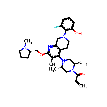 C=CC(=O)N1C[C@H](C)N(c2c(C#N)c(OC[C@@H]3CCCN3C)nc3c2CCN(c2c(O)cccc2F)C3)C[C@H]1C